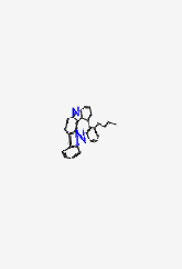 CCCCc1ccccc1-c1cccc2c1-c1c3c(ccc1=N2)=c1ccccc1=N3